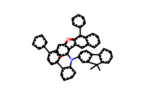 CC1(C)c2ccccc2-c2ccc(N(c3ccccc3-c3ccc(-c4ccccc4)cc3)c3cccc4oc5c(-c6ccccc6)c6ccccc6cc5c34)cc21